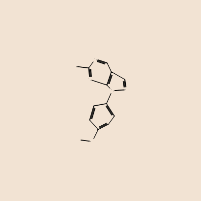 COc1ccc(-n2ncc3cnc(Cl)nc32)cc1